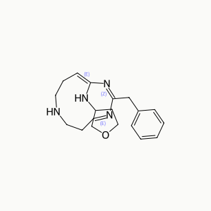 C1=N/C(Cc2ccccc2)=N\C(NC2CCOC2)=C\CCNCC/1